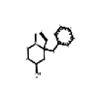 C=CC1(Cc2ccccc2)CC(O)CCN1C